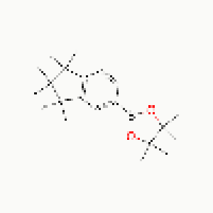 CC1(C)OB(c2ccc3c(c2)C(C)(C)C(C)(C)C3(C)C)OC1(C)C